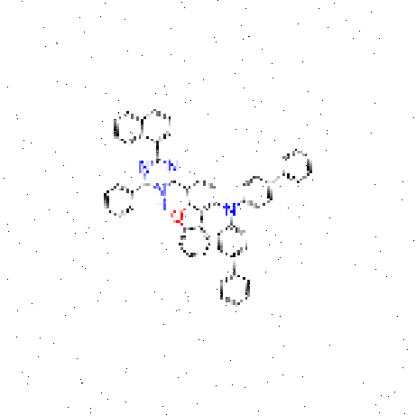 c1ccc(-c2ccc(N(c3ccc(-c4ccccc4)cc3)c3ccc(C4=NC(c5cccc6ccccc56)=NC(c5ccccc5)N4)c4oc5ccccc5c34)cc2)cc1